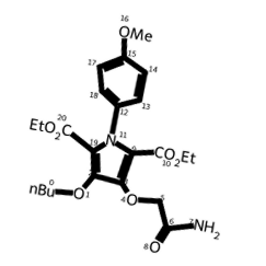 CCCCOc1c(OCC(N)=O)c(C(=O)OCC)n(-c2ccc(OC)cc2)c1C(=O)OCC